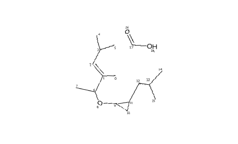 C/C(=C\C(C)C)C(C)OC1CC1CC(C)C.O=CO